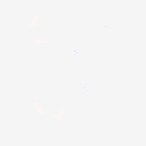 CC(=O)OCCN(C)CCN(C)CCOC(C)=O.CCc1ccccc1.Cl.Cl